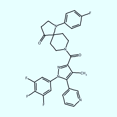 Cc1c(C(=O)N2CCC3(CC2)C(=O)CCN3c2ccc(F)cc2)nn(-c2cc(F)c(F)c(F)c2)c1-c1cccnc1